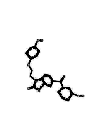 COc1cccc(C(=O)c2ccc3c(c2)sc(=O)n3CCOc2ccc(C=O)cc2)c1